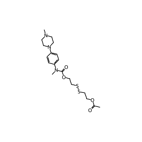 CC(=O)OCCSSCCOC(=O)N(C)c1ccc(N2CCN(C)CC2)cc1